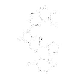 CN(C)c1cc(-c2cnc3ccc(N4CCCC4c4cc(F)ccc4F)nn23)ccc1C#N